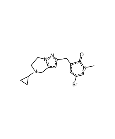 Cn1cc(Br)cc(Cc2cc3n(n2)CCN(C2CC2)C3)c1=O